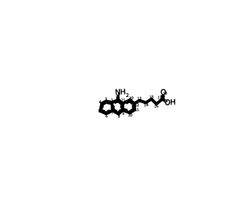 Nc1c2ccccc2cc2ccc(CCCCC(=O)O)cc12